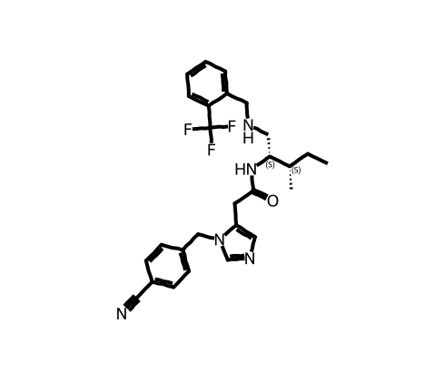 CC[C@H](C)[C@@H](CNCc1ccccc1C(F)(F)F)NC(=O)Cc1cncn1Cc1ccc(C#N)cc1